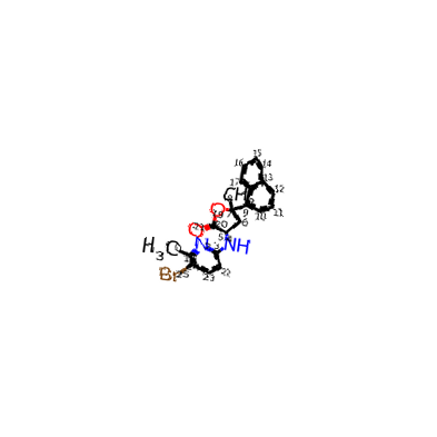 Cc1nc(NC2CC(C)(c3cccc4ccccc34)OC2=O)ccc1Br